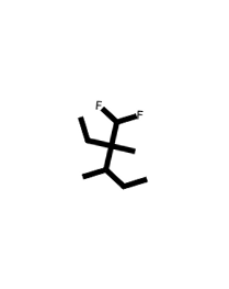 CCC(C)C(C)(CC)C(F)F